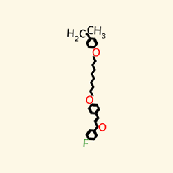 C=C(C)c1ccc(OCCCCCCCCCCOc2ccc(C=CC(=O)c3ccc(F)cc3)cc2)cc1